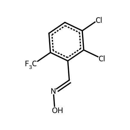 O/N=C/c1c(C(F)(F)F)ccc(Cl)c1Cl